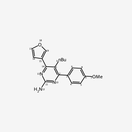 CCCCc1c(-c2ccc(OC)cc2)nc(N)nc1-c1ccoc1